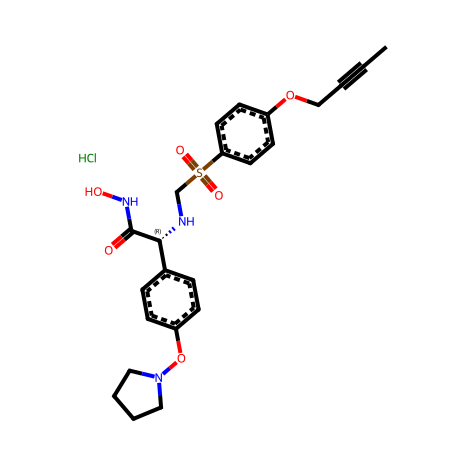 CC#CCOc1ccc(S(=O)(=O)CN[C@@H](C(=O)NO)c2ccc(ON3CCCC3)cc2)cc1.Cl